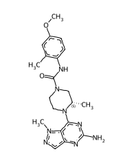 COc1ccc(NC(=O)N2CCN(c3nc(N)nc4cnn(C)c34)[C@@H](C)C2)c(C)c1